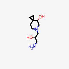 NC[C@H](O)CN1CCC2(CC2)[C@H](O)C1